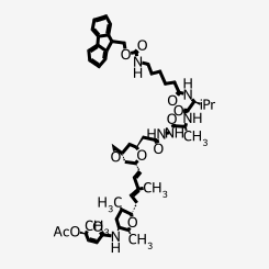 CC(=O)O[C@@H](C)/C=C\C(=O)N[C@@H]1C[C@H](C)[C@H](C/C=C(C)/C=C/[C@@H]2C[C@]3(CO3)C[C@@H](CC(=O)NNC(=O)[C@H](C)NC(=O)[C@@H](NC(=O)CCCCCNC(=O)OCC3c4ccccc4-c4ccccc43)C(C)C)O2)O[C@@H]1C